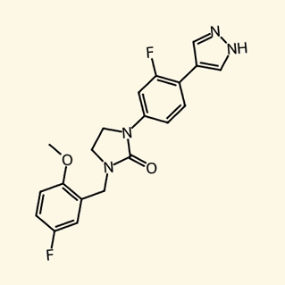 COc1ccc(F)cc1CN1CCN(c2ccc(-c3cn[nH]c3)c(F)c2)C1=O